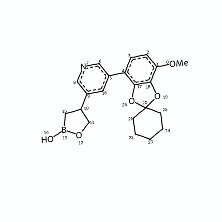 COc1ccc(-c2cncc(C3COB(O)C3)c2)c2c1OC1(CCCCC1)O2